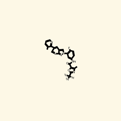 [2H]C([2H])([2H])c1nc(C)c(C(=O)Nc2ccc(F)c(-n3cc4cc(-c5ncccc5C)cnc4n3)c2)o1